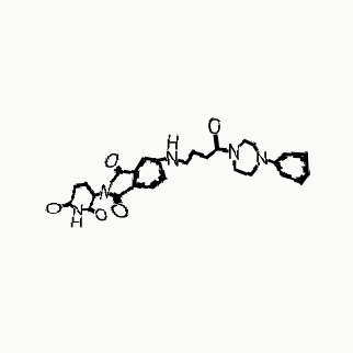 O=C1CCC(N2C(=O)c3ccc(NCCCC(=O)N4CCN(c5ccccc5)CC4)cc3C2=O)C(=O)N1